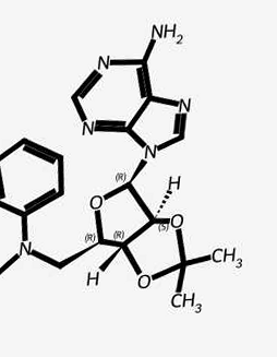 CC(C)N(C[C@H]1O[C@@H](n2cnc3c(N)ncnc32)[C@H]2OC(C)(C)O[C@@H]21)c1ccccc1